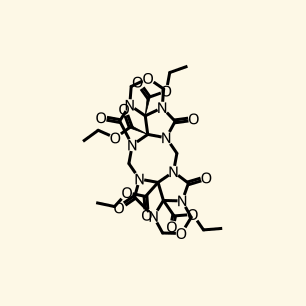 CCOC(=O)C12N3COCN1C(=O)N1CN4C(=O)N5COCN6C(=O)N(CN(C3=O)C12C(=O)OCC)[C@]4(C(=O)OCC)[C@@]56C(=O)OCC